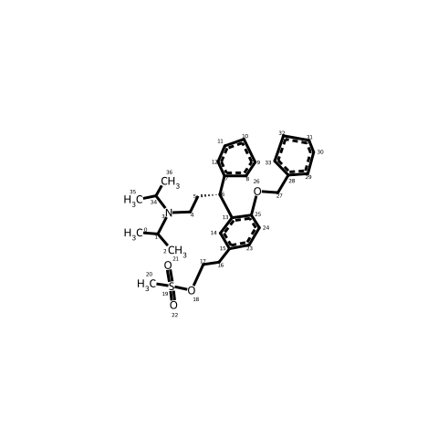 CC(C)N(CC[C@H](c1ccccc1)c1cc(CCOS(C)(=O)=O)ccc1OCc1ccccc1)C(C)C